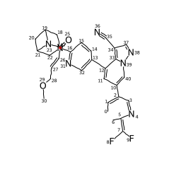 C/C=C(\C=N/C(C)=C(F)F)c1cc(-c2ccc(N3CC4CC(C3)N4C(=O)/C=C/COC)nc2)c2c(C#N)cnn2c1